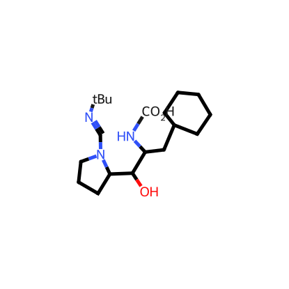 CC(C)(C)N=CN1CCCC1C(O)C(CC1CCCCC1)NC(=O)O